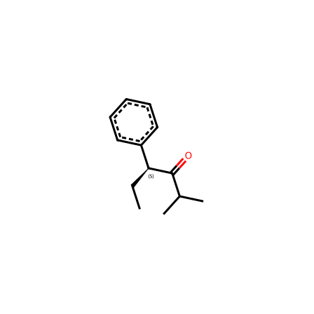 CC[C@H](C(=O)C(C)C)c1ccccc1